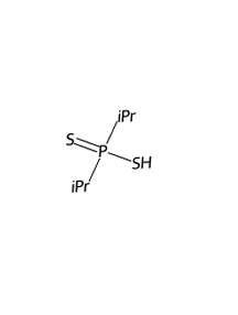 CC(C)P(=S)(S)C(C)C